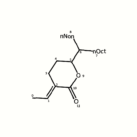 C/C=C1\CCC(C(CCCCCCCC)CCCCCCCCC)OC1=O